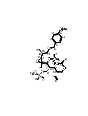 C=C[C@H]1COC(=O)O[C@H]1[C@H](CO[Si](C)(C)C(C)(C)C)[C@H](O[Si](C)(C)C(C)(C)C)C1(C)O[C@@H]1[C@@H](C)COCc1ccc(OC)cc1